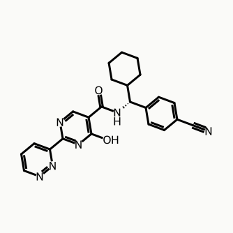 N#Cc1ccc([C@H](NC(=O)c2cnc(-c3cccnn3)nc2O)C2CCCCC2)cc1